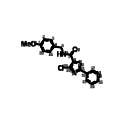 COc1ccc(CNC(=O)c2sc(-c3cccnc3)nc2Cl)cc1